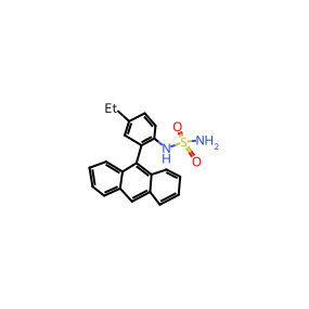 [CH2]Cc1ccc(NS(N)(=O)=O)c(-c2c3ccccc3cc3ccccc23)c1